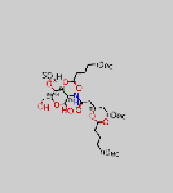 CCCCCCCCCCCCCC(=O)O[C@@H](CCCCCCCCCCC)CC(=O)N[C@H]1C(O)O[C@H](CO)[C@@H](OS(=O)(=O)O)[C@@H]1OC(=O)CCCCCCCCCCCCC